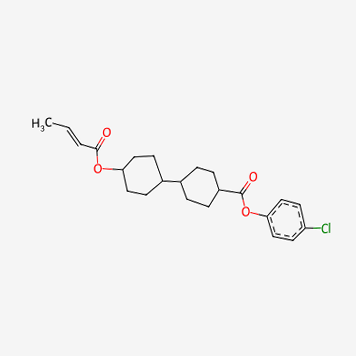 C/C=C/C(=O)OC1CCC(C2CCC(C(=O)Oc3ccc(Cl)cc3)CC2)CC1